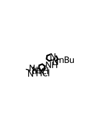 CCCCc1cn2cccc(Nc3ccc(-n4cnc(C)n4)cc3)c2n1.Cl.Cl